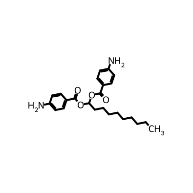 CCCCCCCCCC(OC(=O)c1ccc(N)cc1)OC(=O)c1ccc(N)cc1